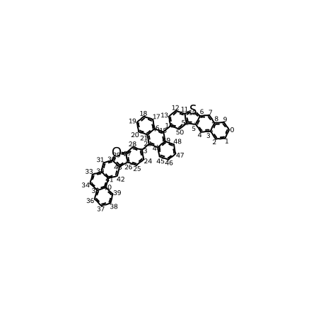 c1ccc2cc3c(cc2c1)sc1ccc(-c2c4ccccc4c(-c4ccc5c(c4)oc4cc6ccc7ccccc7c6cc45)c4ccccc24)cc13